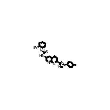 Cc1ccc(-n2cnc(-c3ccc4cc(NC(=S)Nc5ccccc5C(C)C)cnc4n3)n2)cc1